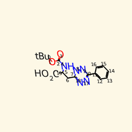 CC(C)(C)OC(=O)NC(Cc1nnc(-c2ccccc2)nn1)C(=O)O